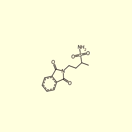 CC(CCN1C(=O)c2ccccc2C1=O)S(N)(=O)=O